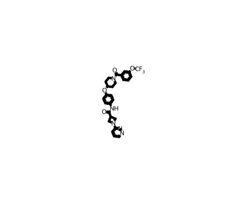 O=C(Nc1ccc(OC2CCN(C(=O)c3cccc(OC(F)(F)F)c3)CC2)cc1)C1CN(c2cccnn2)C1